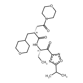 CC[C@H](NC(=O)[C@@H](CC(=O)N1CCOCC1)CC1CCOCC1)C(=O)c1noc(C(C)C)n1